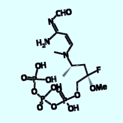 CO[C@](F)(COP(=O)(O)OP(=O)(O)OP(=O)(O)O)C[C@H](C)N(C)/C=C\C(N)=N/C=O